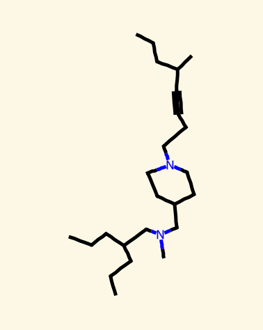 CCCC(C)C#CCCN1CCC(CN(C)CC(CCC)CCC)CC1